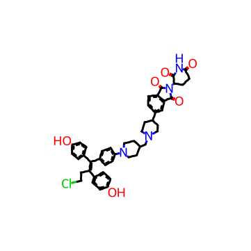 O=C1CCC(N2C(=O)c3ccc(C4CCN(CC5CCN(c6ccc(C(=C(CCCl)c7ccc(O)cc7)c7ccc(O)cc7)cc6)CC5)CC4)cc3C2=O)C(=O)N1